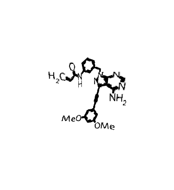 C=CC(=O)Nc1cccc(Cn2nc(C#Cc3cc(OC)cc(OC)c3)c3c(N)ncnc32)c1